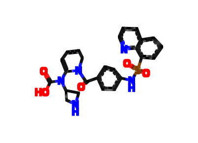 O=C(c1ccc(NS(=O)(=O)c2cccc3cccnc23)cc1)N1CC=CC=C1N(C(=O)O)C1CNC1